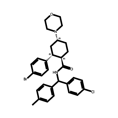 Cc1ccc(C(NC(=O)[C@@H]2CC[C@@H](N3CCOCC3)C[C@H]2c2ccc(Br)cc2)c2ccc(Cl)cc2)cc1